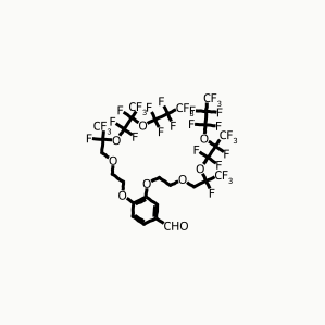 O=Cc1ccc(OCCOCC(F)(OC(F)(F)C(F)(OC(F)(F)C(F)(F)C(F)(F)F)C(F)(F)F)C(F)(F)F)c(OCCOCC(F)(OC(F)(F)C(F)(OC(F)(F)C(F)(F)C(F)(F)F)C(F)(F)F)C(F)(F)F)c1